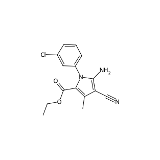 CCOC(=O)c1c(C)c(C#N)c(N)n1-c1cccc(Cl)c1